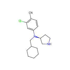 N#Cc1ccc(N(CC2CCCCC2)[C@H]2CCNC2)cc1Cl